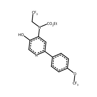 CCOC(=O)N(CC(F)(F)F)c1cc(-c2ccc(OC(F)(F)F)cc2)ncc1O